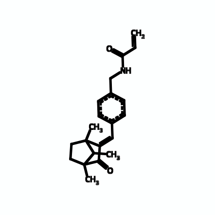 C=CC(=O)NCc1ccc(/C=C2/C(=O)C3(C)CCC2(C)C3C)cc1